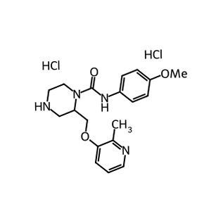 COc1ccc(NC(=O)N2CCNCC2COc2cccnc2C)cc1.Cl.Cl